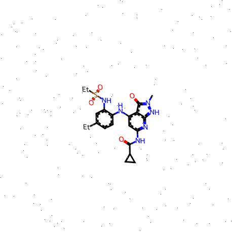 CCc1ccc(Nc2cc(NC(=O)C3CC3)nc3[nH]n(C)c(=O)c23)c(NS(=O)(=O)CC)c1